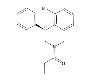 C=CC(=O)N1Cc2cccc(Br)c2[C@H](c2ccccc2)C1